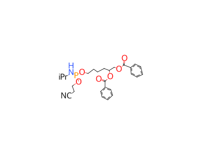 CC(C)NP(OCCC#N)OCCCCC(COC(=O)c1ccccc1)OC(=O)c1ccccc1